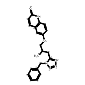 CC(COc1ccc2[nH]c(=O)ccc2c1)Cc1nnnn1Cc1ccccc1